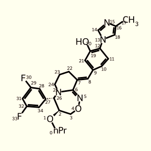 CCCO[C@@H]1CON=C2/C(=C/c3ccc(-n4cnc(C)c4)c(O)c3)CCCN2[C@H]1c1cc(F)cc(F)c1